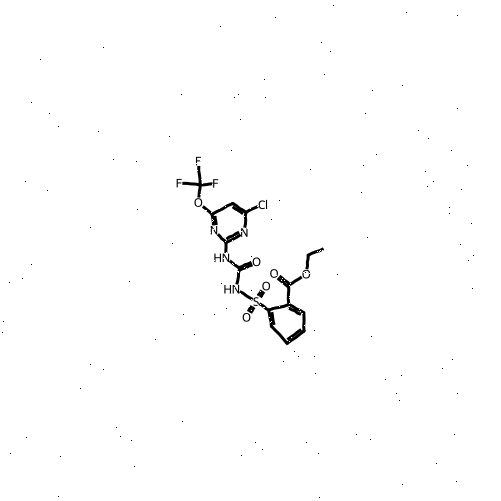 CCOC(=O)c1ccccc1S(=O)(=O)NC(=O)Nc1nc(Cl)cc(OC(F)(F)F)n1